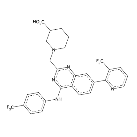 O=C(O)C1CCCN(Cc2nc(Nc3ccc(C(F)(F)F)cc3)c3ccc(-c4ncccc4C(F)(F)F)cc3n2)C1